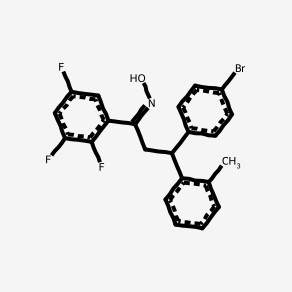 Cc1ccccc1C(CC(=NO)c1cc(F)cc(F)c1F)c1ccc(Br)cc1